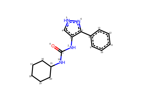 O=C(Nc1c[nH]nc1-c1ccccc1)NC1CCCCC1